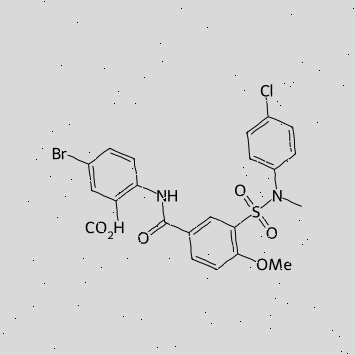 COc1ccc(C(=O)Nc2ccc(Br)cc2C(=O)O)cc1S(=O)(=O)N(C)c1ccc(Cl)cc1